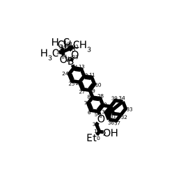 CCC(O)COc1ccc(-c2ccc3cc(B4OC(C)(C)C(C)(C)O4)ccc3c2)cc1C12CC3CC(CC(C3)C1)C2